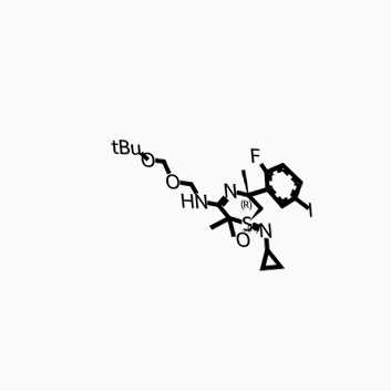 CC(C)(C)OCOCNC1=N[C@](C)(c2cc(I)ccc2F)C[S@](=O)(=NC2CC2)C1(C)C